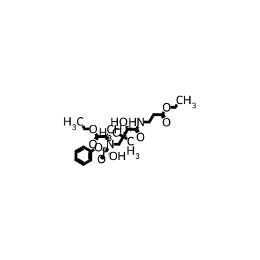 CCOC(=O)CCNC(=O)[C@H](O)C(C)(C)CN([C@@H](C)C(=O)OCC)P(=O)(O)Oc1ccccc1